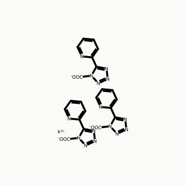 O=C([O-])n1nnnc1-c1ccccn1.O=C([O-])n1nnnc1-c1ccccn1.O=C([O-])n1nnnc1-c1ccccn1.[Ir+3]